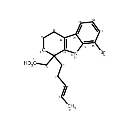 CC=CCCC1(CC(=O)O)OCCc2c1[nH]c1c(Br)cccc21